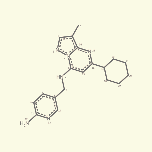 Cc1cnn2c(NCc3ccc(N)nc3)cc(C3CCCCC3)nc12